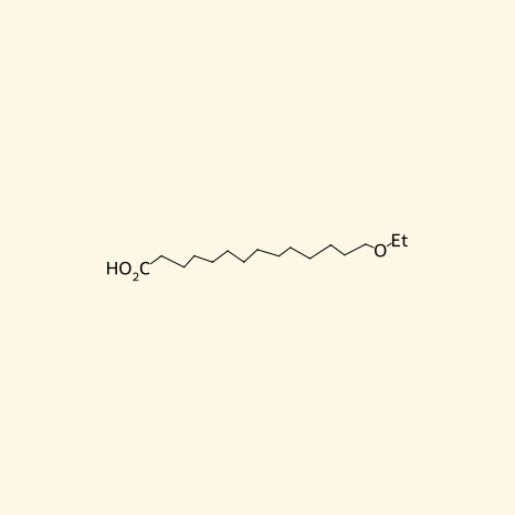 CCOCCCCCCCCCCCCCC(=O)O